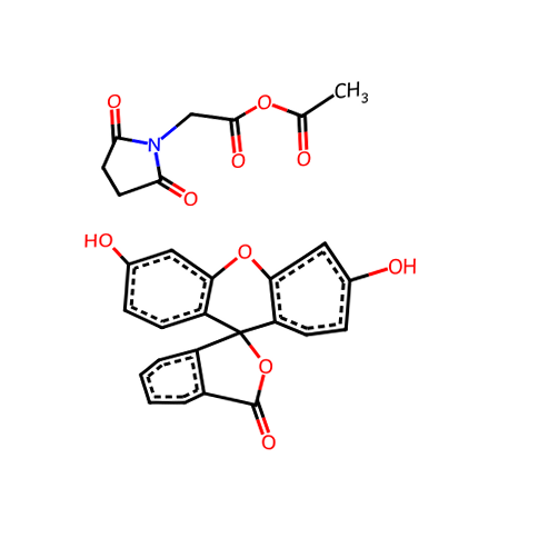 CC(=O)OC(=O)CN1C(=O)CCC1=O.O=C1OC2(c3ccc(O)cc3Oc3cc(O)ccc32)c2ccccc21